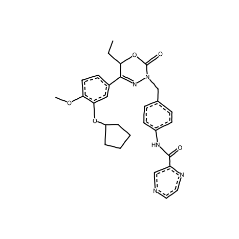 CCC1OC(=O)N(Cc2ccc(NC(=O)c3cnccn3)cc2)N=C1c1ccc(OC)c(OC2CCCC2)c1